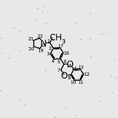 CC(c1ccc(C2COc3ccccc3O2)cc1)N1CCCC1